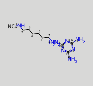 N#CNCCCCCCN.Nc1nc(N)nc(N)n1